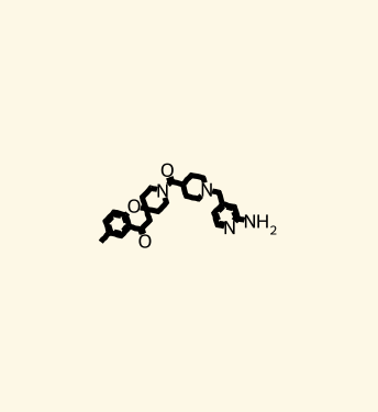 Cc1ccc2c(c1)C(=O)CC1(CCN(C(=O)C3CCN(Cc4ccnc(N)c4)CC3)CC1)O2